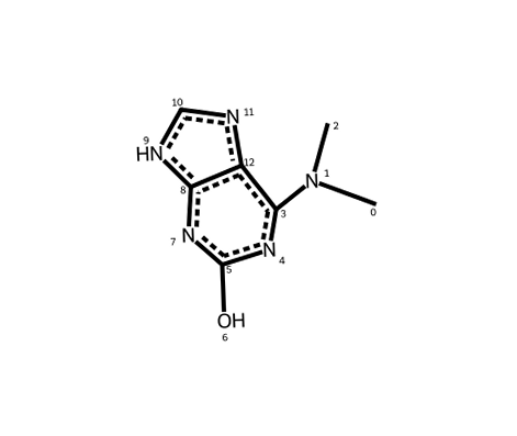 CN(C)c1nc(O)nc2[nH]cnc12